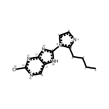 CCCCc1nccn1-c1nc2nc(Cl)ncc2[nH]1